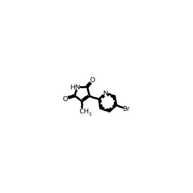 CC1=C(c2ccc(Br)cn2)C(=O)NC1=O